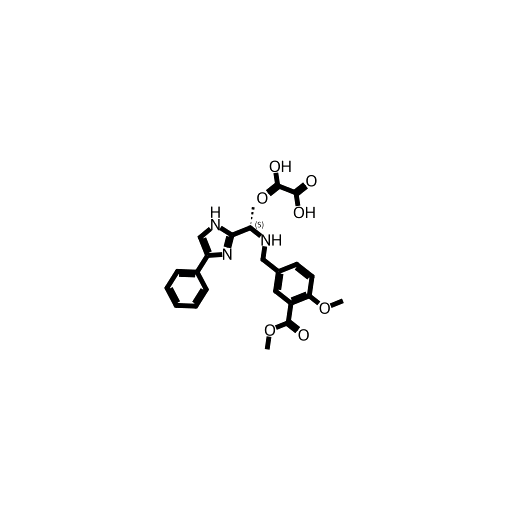 COC(=O)c1cc(CN[C@@H](C)c2nc(-c3ccccc3)c[nH]2)ccc1OC.O=C(O)C(=O)O